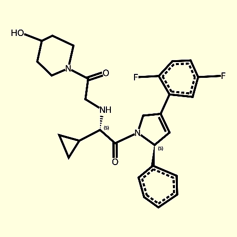 O=C(CN[C@H](C(=O)N1CC(c2cc(F)ccc2F)=C[C@H]1c1ccccc1)C1CC1)N1CCC(O)CC1